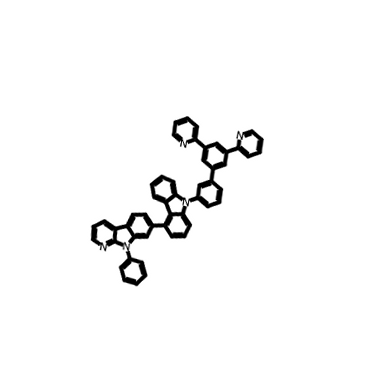 c1ccc(-n2c3cc(-c4cccc5c4c4ccccc4n5-c4cccc(-c5cc(-c6ccccn6)cc(-c6ccccn6)c5)c4)ccc3c3cccnc32)cc1